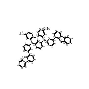 CC(C)(C)c1ccc2c(c1)N(c1cccc(-c3cccc4c3oc3ccccc34)c1)c1cccc3c1B2c1ccc(C(C)(C)C)cc1N3c1cccc(-c2cccc3c2oc2ccccc23)c1